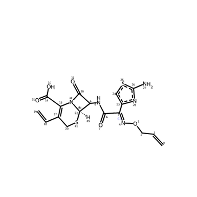 C=CCO/N=C(/C(=O)NC1C(=O)N2C(C(=O)O)=C(C=C)CS[C@H]12)c1csc(N)n1